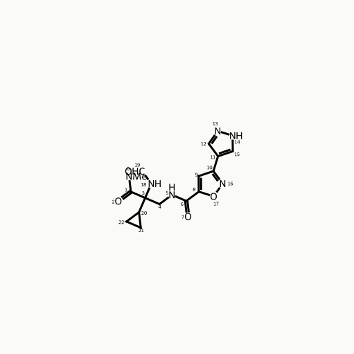 CNC(=O)C(CNC(=O)c1cc(-c2cn[nH]c2)no1)(NC=O)C1CC1